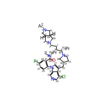 CC(=O)N1C[C@@H]2CN(CCC[C@H](C(C)C)N3CC[C@@H](Cc4cn(-c5ccc(F)cc5C(=O)N(C)C(C)C)c5cncc(Cl)c45)C3)C[C@H]2C1